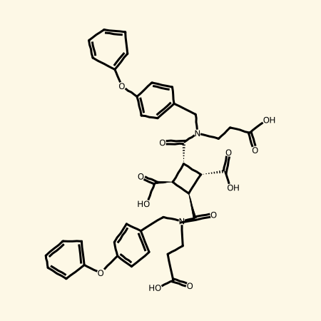 O=C(O)CCN(Cc1ccc(Oc2ccccc2)cc1)C(=O)[C@H]1[C@H](C(=O)O)[C@H](C(=O)N(CCC(=O)O)Cc2ccc(Oc3ccccc3)cc2)[C@H]1C(=O)O